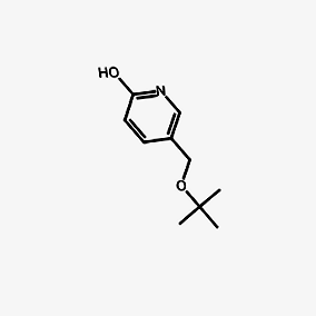 CC(C)(C)OCc1ccc(O)nc1